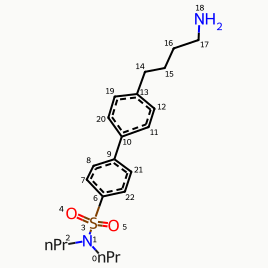 CCCN(CCC)S(=O)(=O)c1ccc(-c2ccc(CCCCN)cc2)cc1